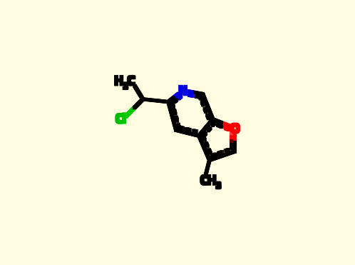 Cc1coc2cnc(C(C)Cl)cc12